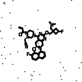 C=CC(=O)N1CCN(c2nc(OCC3(CN(C)C)CC(F)C3)nc3c2CCN(c2cccc4ccc(F)c(Cl)c24)C3)C[C@@H]1CC#N